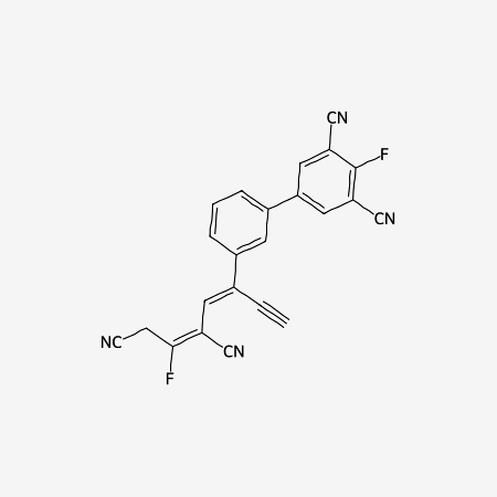 C#C/C(=C\C(C#N)=C(\F)CC#N)c1cccc(-c2cc(C#N)c(F)c(C#N)c2)c1